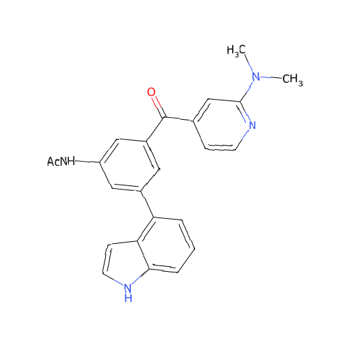 CC(=O)Nc1cc(C(=O)c2ccnc(N(C)C)c2)cc(-c2cccc3[nH]ccc23)c1